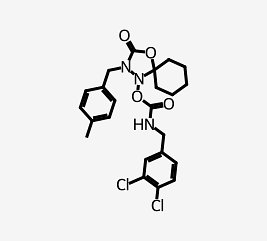 Cc1ccc(CN2C(=O)OC3(CCCCC3)N2OC(=O)NCc2ccc(Cl)c(Cl)c2)cc1